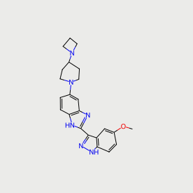 COc1ccc2[nH]nc(-c3nc4cc(N5CCC(N6CCC6)CC5)ccc4[nH]3)c2c1